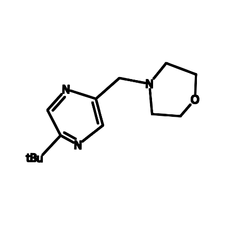 CC(C)(C)c1cnc(CN2CCOCC2)cn1